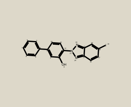 Oc1cc(-c2ccccc2)ccc1-n1nc2ccc(I)cc2n1